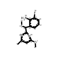 COc1cc(C)nc(C(SC)c2cccc(F)c2N)n1